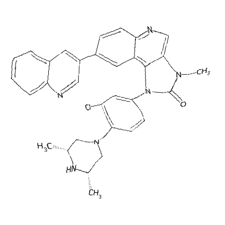 C[C@@H]1CN(c2ccc(-n3c(=O)n(C)c4cnc5ccc(-c6cnc7ccccc7c6)cc5c43)cc2Cl)C[C@H](C)N1